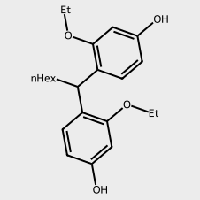 CCCCCCC(c1ccc(O)cc1OCC)c1ccc(O)cc1OCC